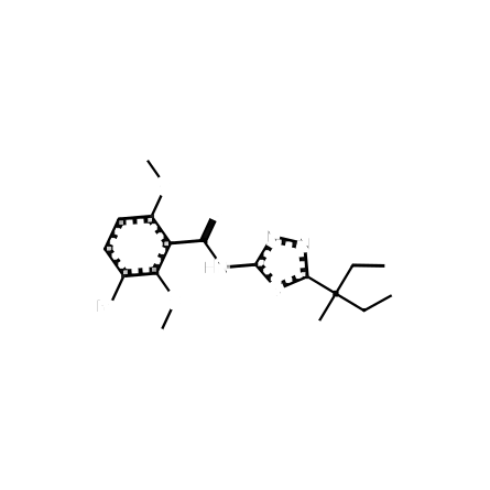 CCC(C)(CC)c1nnc(NC(=O)c2c(OC)ccc(Br)c2OC)s1